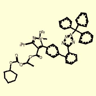 CCC[N+]1(C)N=C(C(C)C)C(C(=O)OC(C)OC(=O)OC2CCCCC2)=C1c1ccc(-c2ccccc2-c2nnn(C(c3ccccc3)(c3ccccc3)c3ccccc3)n2)cc1